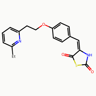 CCc1cccc(CCOc2ccc(C=C3NC(=O)SC3=O)cc2)n1